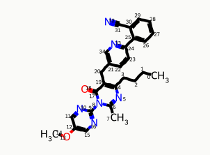 CCCCc1nc(C)n(-c2ncc(OC)cn2)c(=O)c1Cc1ccc(-c2ccccc2C#N)nc1